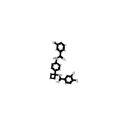 O=C(Nc1ccc(C2(NC(=O)c3ccc(Cl)c(Cl)c3)CCC2)cc1)c1cccc(Cl)c1